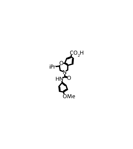 COc1ccc(NC(=O)N2Cc3ccc(C(=O)O)cc3OC(C(C)C)C2)cc1